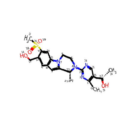 Cc1nc(N2CCn3c(cc4cc(CO)c(S(C)(=O)=O)cc43)[C@@H]2C(C)C)ncc1[C@H](C)O